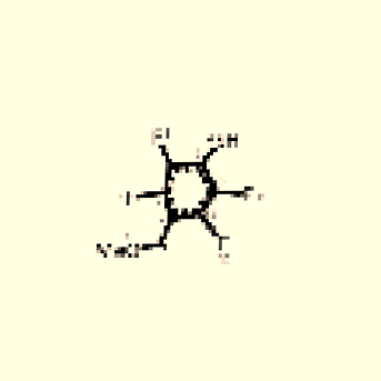 COCc1c(F)c(F)c(S)c(F)c1F